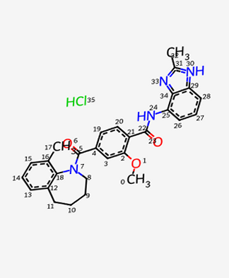 COc1cc(C(=O)N2CCCCc3cccc(C)c32)ccc1C(=O)Nc1cccc2[nH]c(C)nc12.Cl